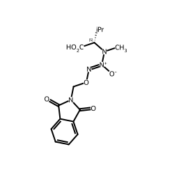 CC(C)[C@@H](C(=O)O)N(C)[N+]([O-])=NOCN1C(=O)c2ccccc2C1=O